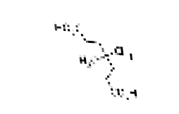 CC(C)(CCC(=O)O)CCC(=O)O